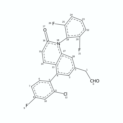 O=CCc1cc(-c2ccc(F)cc2Cl)c2ccc(=O)n(-c3c(F)cccc3F)c2c1